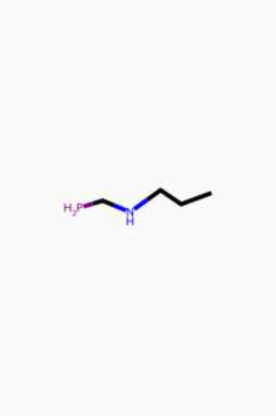 CCCNCP